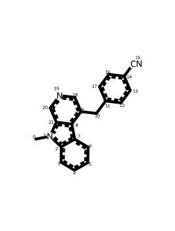 Cn1c2ccccc2c2c(Cc3ccc(C#N)cc3)cncc21